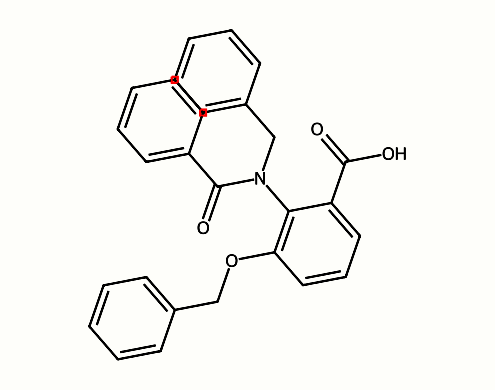 O=C(O)c1cccc(OCc2ccccc2)c1N(Cc1ccccc1)C(=O)c1ccccc1